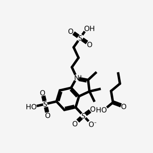 CC1=[N+](CCCS(=O)(=O)O)c2cc(S(=O)(=O)O)cc(S(=O)(=O)[O-])c2C1(C)C.CCCC(=O)O